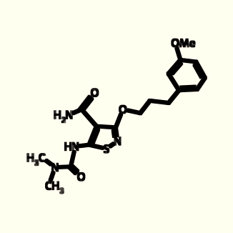 COc1cccc(CCCOc2nsc(NC(=O)N(C)C)c2C(N)=O)c1